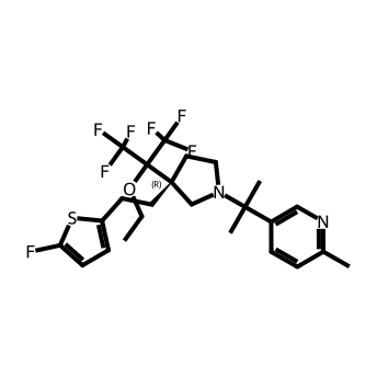 CCOC(C(F)(F)F)(C(F)(F)F)[C@]1(CCc2ccc(F)s2)CCN(C(C)(C)c2ccc(C)nc2)C1